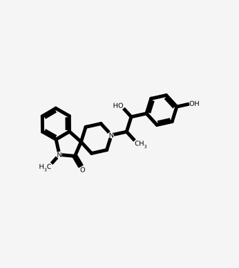 CC(C(O)c1ccc(O)cc1)N1CCC2(CC1)C(=O)N(C)c1ccccc12